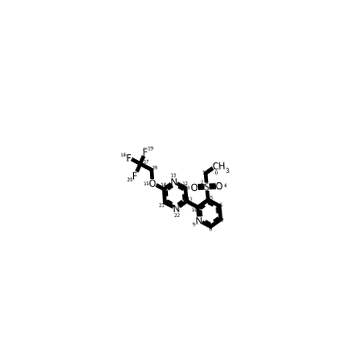 CCS(=O)(=O)c1cccnc1-c1cnc(OCC(F)(F)F)cn1